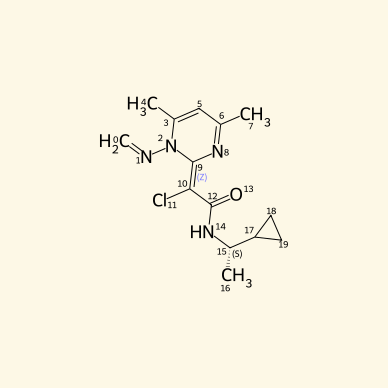 C=NN1C(C)=CC(C)=N/C1=C(/Cl)C(=O)N[C@@H](C)C1CC1